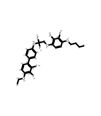 CCCCOc1ccc(OCC(F)(F)Oc2ccc(-c3ccc(OCC)c(F)c3F)cc2)c(F)c1F